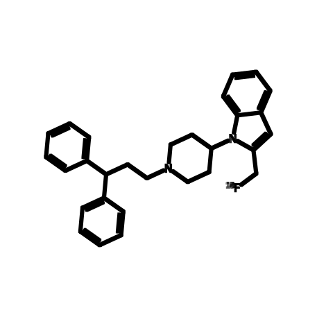 [18F]Cc1cc2ccccc2n1C1CCN(CCC(c2ccccc2)c2ccccc2)CC1